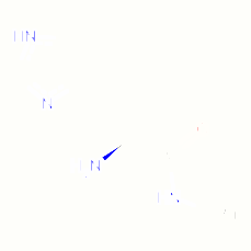 CC(C)(C)NC(=O)[C@@H](N)Cc1c[nH]cn1